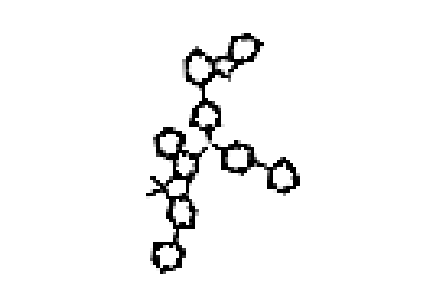 CC1(C)c2cc(-c3ccccc3)ccc2-c2cc(N(c3ccc(-c4ccccc4)cc3)c3ccc(-c4cccc5c4sc4ccccc45)cc3)c3ccccc3c21